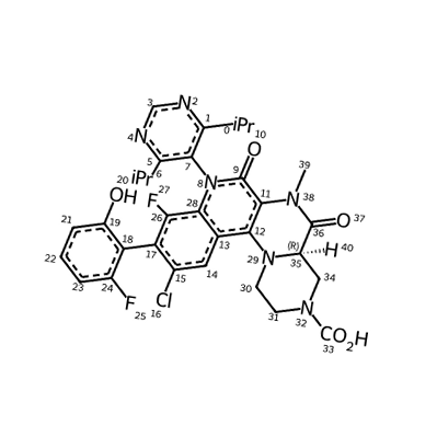 CC(C)c1ncnc(C(C)C)c1-n1c(=O)c2c(c3cc(Cl)c(-c4c(O)cccc4F)c(F)c31)N1CCN(C(=O)O)C[C@@H]1C(=O)N2C